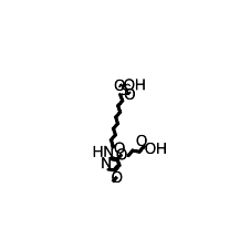 COc1cnc(NC(=O)CCCCCCCCCS(=O)(=O)O)c(OCCCC(=O)O)c1